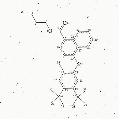 CCCCOC(=O)c1ccc(Sc2cc3c(cc2C)C(C)(C)CCC3(C)C)c2ccccc12